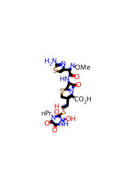 CCCN1C(=O)C(=O)NN(O)C1(O)S/C=C/C1=C(C(=O)O)N2C(=O)C(NC(=O)/C(=N\OC)c3csc(N)n3)C2SC1